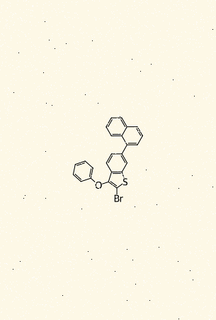 Brc1sc2cc(-c3cccc4ccccc34)ccc2c1Oc1ccccc1